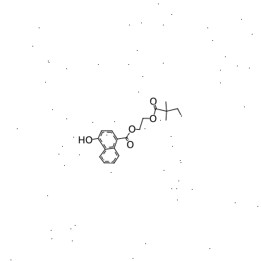 CCC(C)(C)C(=O)OCCOC(=O)c1ccc(O)c2ccccc12